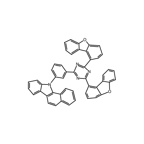 c1cc(-c2nc(-c3cccc4oc5ccccc5c34)nc(-c3cccc4oc5ccccc5c34)n2)cc(-n2c3ccccc3c3ccc4ccccc4c32)c1